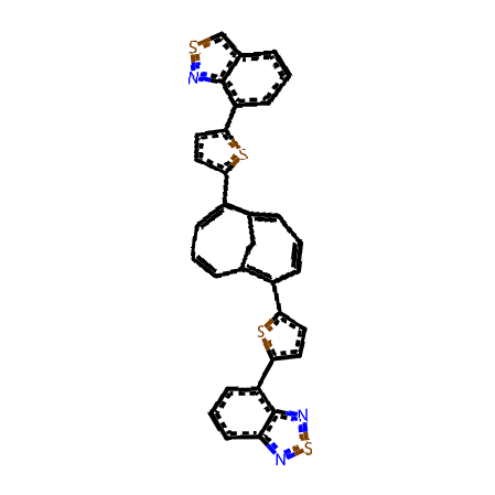 C1=CC2=C(c3ccc(-c4cccc5nsnc45)s3)C=CC=C(C2)C(c2ccc(-c3cccc4csnc34)s2)=C1